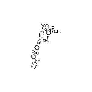 C=CC(=O)Nc1cccc(S(=O)(=O)c2ccc(N3CC(CN4CCC([C@@](CN5CCC5)(c5cccc(F)c5)[C@H]5CCC[C@@H]5NC(=O)OC)CC4)(OC)C3)cc2)c1